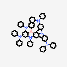 c1ccc(N(c2ccccc2)c2cc3c4c(c2)N(c2ccccc2)c2cc5c6cc(N(c7ccccc7)c7ccccc7)ccc6n6c7ccc(N(c8ccccc8)c8ccccc8)cc7c(c2B4c2ccccc2N3c2ccccc2)c56)cc1